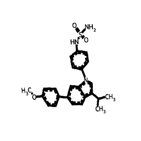 COc1ccc(-c2ccc3c(C(C)C)cn(-c4ccc(NS(N)(=O)=O)cc4)c3c2)cc1